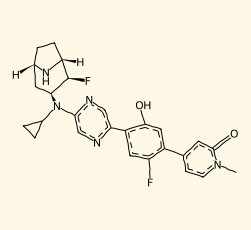 Cn1ccc(-c2cc(O)c(-c3cnc(N(C4CC4)[C@H]4C[C@@H]5CC[C@@H](N5)[C@H]4F)cn3)cc2F)cc1=O